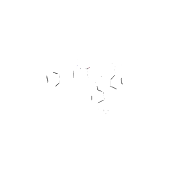 COc1ccc([C@H](Cc2c([N+](=O)[O-])cccc2C(F)(F)F)C(C(=O)O)C(=O)N(C)C(C)C(O)c2ccccc2)cc1